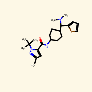 Cc1cc(C(=O)NC2CCC(C(c3cccs3)N(C)C)CC2)n(C(C)(C)C)n1